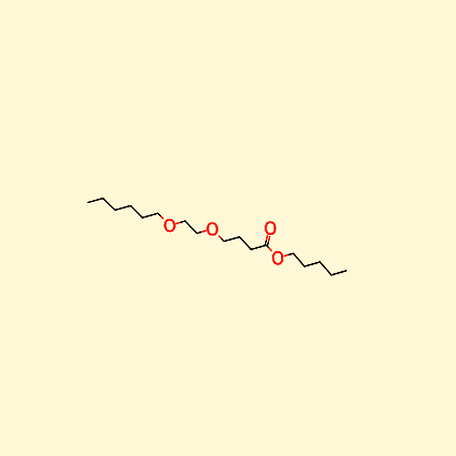 CCCCCCOCCOCCCC(=O)OCCCCC